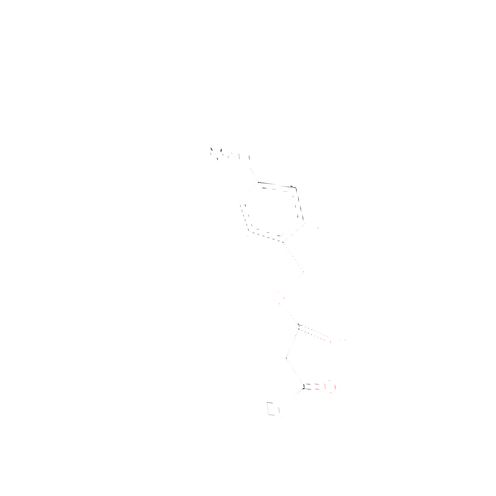 CCC(=O)CC(=O)OCc1ccc(OC)cc1